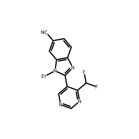 CCn1c(-c2cncnc2C(F)F)nc2ccc(C#N)cc21